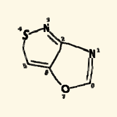 c1nc2nscc2o1